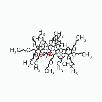 C=CCCCOC1OC(COC(OC)C(OC(OC)C(OC(OC)C(OCCCC)C(OCCCC)C(CCOCCCC)OCCCC)C(OCCCC)C(CCO[SH](#P)I)OCCCC)C(OCCCC)C(CCOCCCC)OCCCC)C(OCCCC)C(OCCCC)C1OCCCC